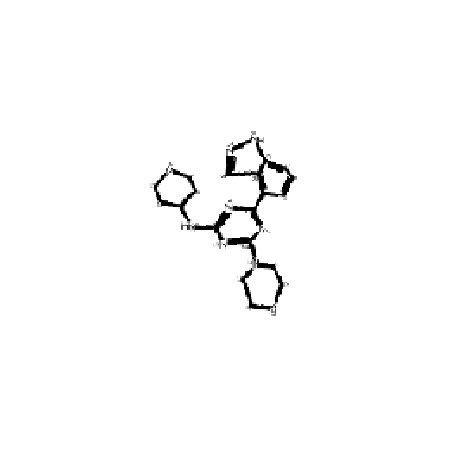 c1cc(-c2nc(NC3CCOCC3)nc(N3CCOCC3)n2)c2cn[nH]c2c1